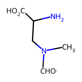 CN([C]=O)CC(N)C(=O)O